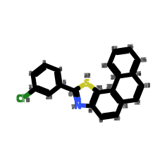 Clc1cccc(-c2nc3ccc4ccc5ccccc5c4c3s2)c1